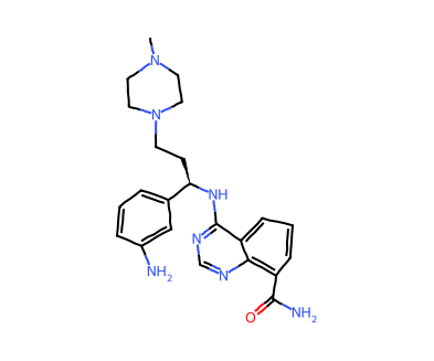 CN1CCN(CC[C@@H](Nc2ncnc3c(C(N)=O)cccc23)c2cccc(N)c2)CC1